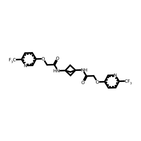 O=C(COc1ccc(C(F)(F)F)nc1)NC12CC(NC(=O)COc3ccc(C(F)(F)F)nc3)(C1)C2